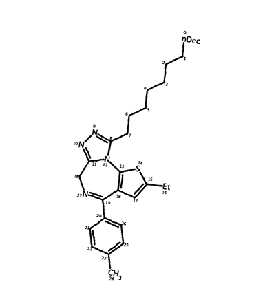 CCCCCCCCCCCCCCCCCc1nnc2n1-c1sc(CC)cc1C(c1ccc(C)cc1)=NC2